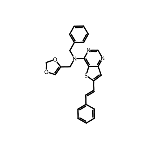 C(=Cc1cc2ncnc(N(CC3=COCO3)Cc3ccccc3)c2s1)c1ccccc1